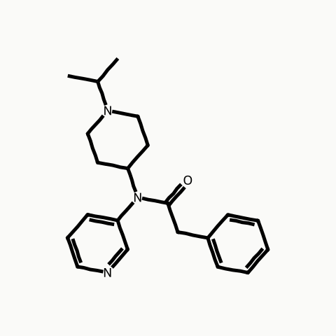 CC(C)N1CCC(N(C(=O)Cc2ccccc2)c2cccnc2)CC1